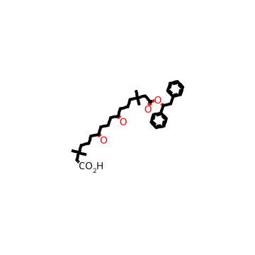 CC(C)(CCCC(=O)CCCC(=O)CCCC(C)(C)CC(=O)OC(Cc1ccccc1)c1ccccc1)CC(=O)O